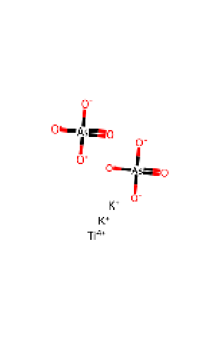 O=[As]([O-])([O-])[O-].O=[As]([O-])([O-])[O-].[K+].[K+].[Ti+4]